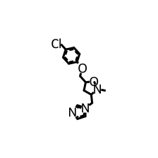 CN1OC(COc2ccc(Cl)cc2)CC1Cn1ccnc1